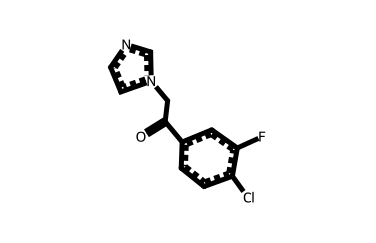 O=C(Cn1ccnc1)c1ccc(Cl)c(F)c1